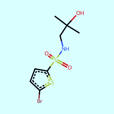 CC(C)(O)CNS(=O)(=O)c1ccc(Br)s1